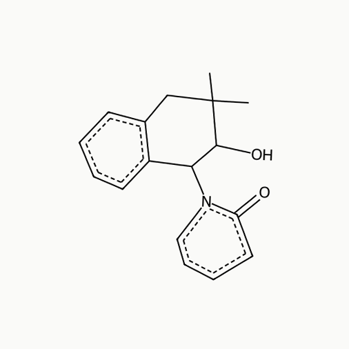 CC1(C)Cc2ccccc2C(n2ccccc2=O)C1O